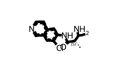 CC(N)[C@H](C)C(=O)Nc1cc2ccncc2cc1Cl